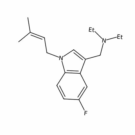 CCN(CC)Cc1cn(CC=C(C)C)c2ccc(F)cc12